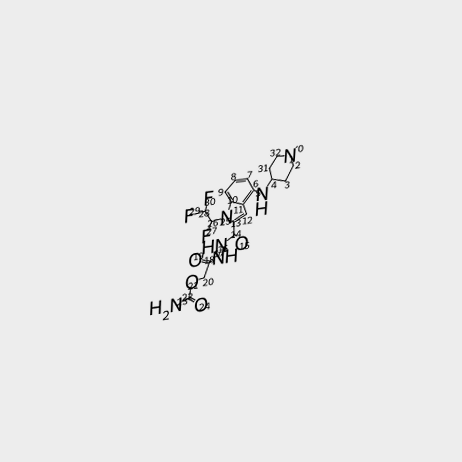 CN1CCC(Nc2cccc3c2cc(C(=O)NNC(=O)COC(N)=O)n3C(F)C(F)F)CC1